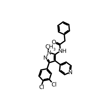 Cn1nc(-c2ccc(Cl)c(Cl)c2)c(-c2ccncc2)c1NC(=O)Cc1ccccc1